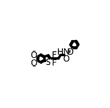 COc1cc2cc(C(F)(F)CCC(=O)NOc3ccccc3)sc2cc1OC